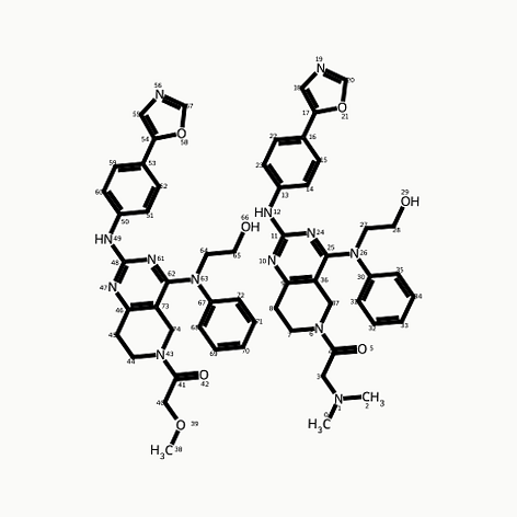 CN(C)CC(=O)N1CCc2nc(Nc3ccc(-c4cnco4)cc3)nc(N(CCO)c3ccccc3)c2C1.COCC(=O)N1CCc2nc(Nc3ccc(-c4cnco4)cc3)nc(N(CCO)c3ccccc3)c2C1